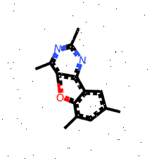 Cc1cc(C)c2oc3c(C)nc(C)nc3c2c1